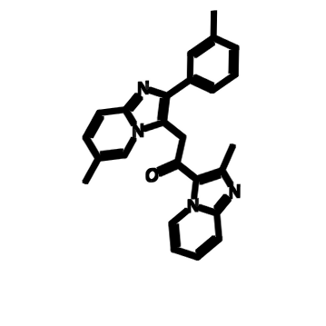 Cc1cccc(-c2nc3ccc(C)cn3c2CC(=O)c2c(C)nc3ccccn23)c1